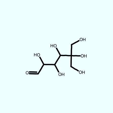 O=CC(O)C(O)C(O)C(O)(CO)CO